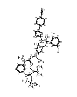 CC(C)N(Cc1ccccc1N(C)C(=O)OC(C)[n+]1cnn(C[C@](O)(c2cc(F)ccc2F)[C@@H](C)c2nc(-c3ccc(C#N)cc3)cs2)c1)C(=O)OC(C)(C)C